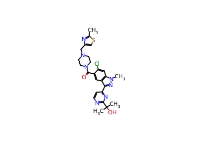 Cc1nc(CN2CCN(C(=O)c3cc4c(-c5ccnc(C(C)(C)O)n5)nn(C)c4cc3Cl)CC2)cs1